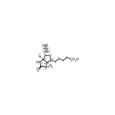 Br.Br.Br.O=C(O)CCCC[C@@H]1SC[C@@H]2NC(=O)N[C@@H]21